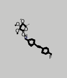 CO[C@@H]1[C@@H](OC)[C@H](C)O[C@@H](O/N=C/c2ccc(C#Cc3ccc(CF)cc3)cc2)[C@@H]1OC